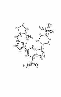 CCS(=O)(=O)N1CCC(c2c[nH]c3c(C(N)=O)cc(-c4ccc(CN5CCCC5C)s4)cc23)CC1